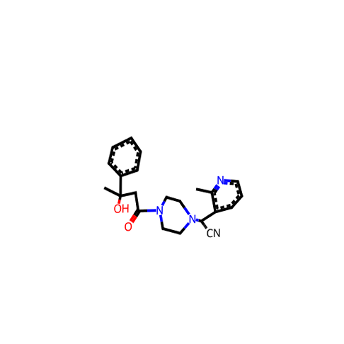 Cc1ncccc1C(C#N)N1CCN(C(=O)CC(C)(O)c2ccccc2)CC1